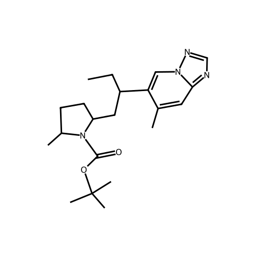 CCC(CC1CCC(C)N1C(=O)OC(C)(C)C)c1cn2ncnc2cc1C